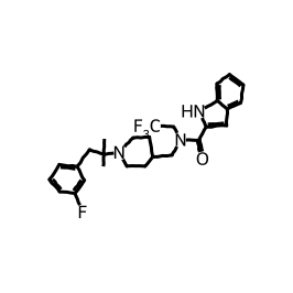 CC(C)(Cc1cccc(F)c1)N1CCC(CN(CC(F)(F)F)C(=O)c2cc3ccccc3[nH]2)CC1